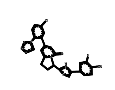 N#Cc1ccc(-c2cnc(C3CCc4cc(-c5cc(Cl)ccc5-n5cnnn5)cc(=O)n43)[nH]2)cc1F